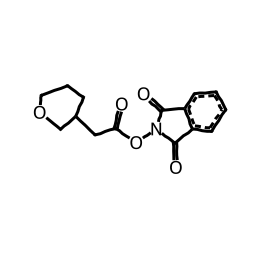 O=C(CC1CCCOC1)ON1C(=O)c2ccccc2C1=O